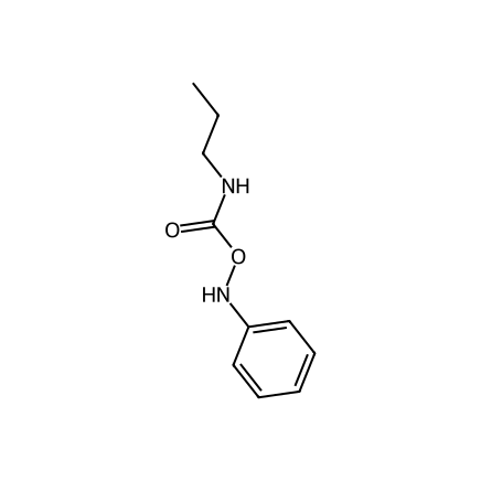 CCCNC(=O)ONc1ccccc1